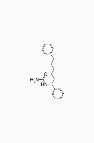 NC(=O)NC(CCCCCc1ccccc1)c1ccccc1